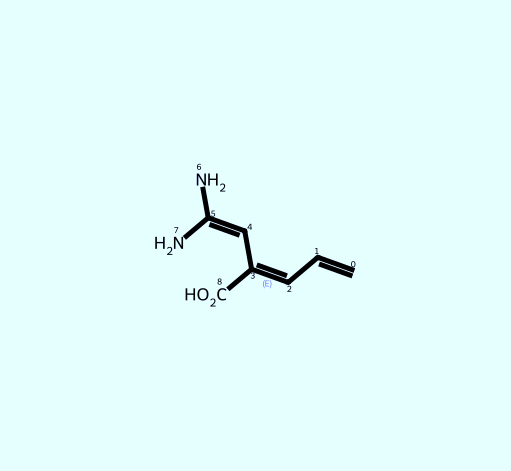 C=C/C=C(\C=C(N)N)C(=O)O